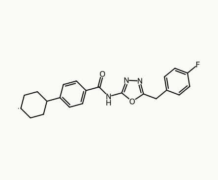 O=C(Nc1nnc(Cc2ccc(F)cc2)o1)c1ccc(C2CC[CH]CC2)cc1